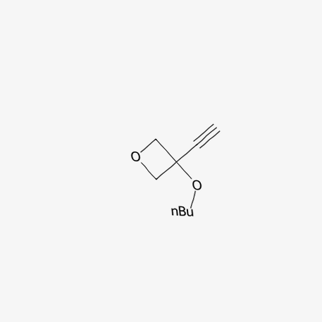 C#CC1(OCCCC)COC1